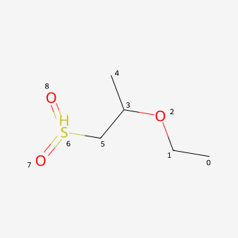 CCOC(C)C[SH](=O)=O